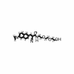 N#C/C(=C\c1ccc2cc(N3CC3)ccc2c1)C(=O)NCCOCCOCCO